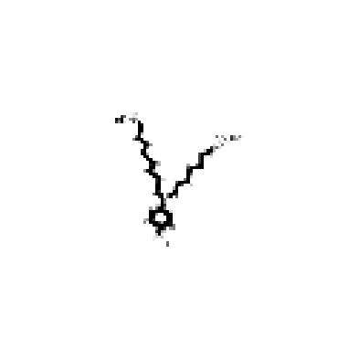 CCCCCCCCCCCCCCCCCCN(CCCCCCCCCCCCCCCCCC)c1ccc(C(F)(F)F)cc1